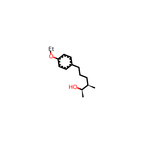 CCOc1ccc(CCC[C@@H](C)[C@@H](C)O)cc1